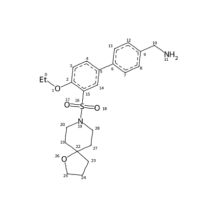 CCOc1ccc(-c2ccc(CN)cc2)cc1S(=O)(=O)N1CCC2(CCCO2)CC1